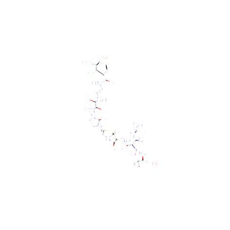 Nc1nc(/C(=N/OC2(C(=O)O)CC2)C(=O)N[C@@H]2C(=O)N3C[C@H](N4CCN(NC(=O)C(=O)NCCNC(=O)c5ccc(O)c(O)c5Cl)C4=O)S[C@H]23)ns1